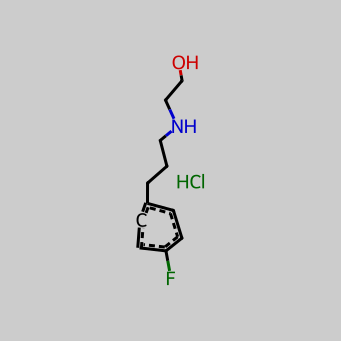 Cl.OCCNCCCc1ccc(F)cc1